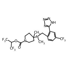 CN(Cc1ccc(C(F)(F)F)cc1-c1nnn[nH]1)C1(C)CCN(C(=O)OC(C(F)(F)F)C(F)(F)F)CC1